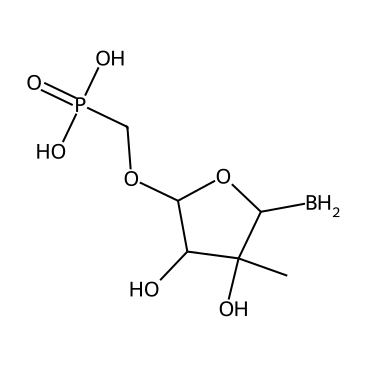 BC1OC(OCP(=O)(O)O)C(O)C1(C)O